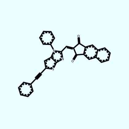 O=C1C(=Cc2nc3sc(C#Cc4ccccc4)cc3n2-c2ccccc2)C(=O)c2cc3ccccc3cc21